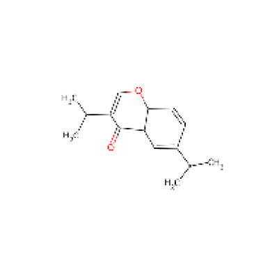 CC(C)C1=CC2C(=O)C(C(C)C)=COC2C=C1